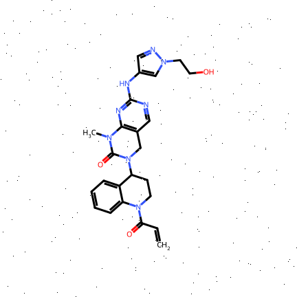 C=CC(=O)N1CCC(N2Cc3cnc(Nc4cnn(CCO)c4)nc3N(C)C2=O)c2ccccc21